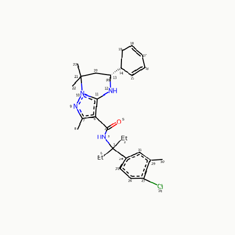 CCC(CC)(NC(=O)c1c(C)nn2c1N[C@@H](C1C=CC=CC1)CC2(C)C)c1ccc(Cl)c(C)c1